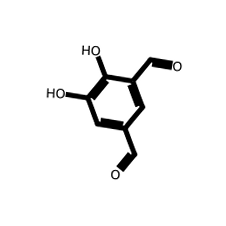 O=Cc1cc(O)c(O)c(C=O)c1